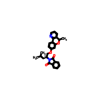 CC(C)C[C@@H](COc1ccc2c(c1)OC(C)c1cccnc1-2)N1C(=O)c2ccccc2C1=O